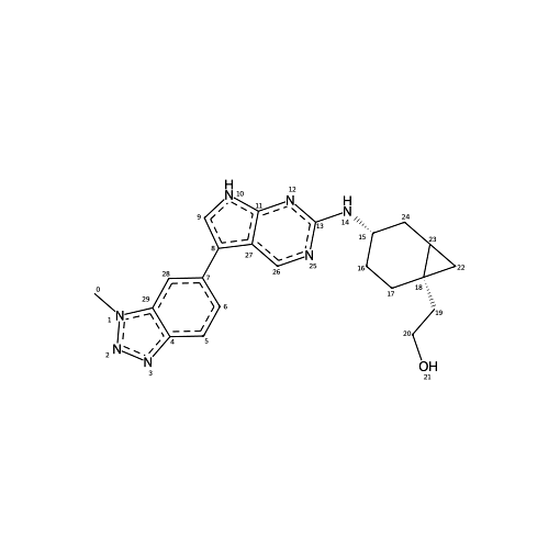 Cn1nnc2ccc(-c3c[nH]c4nc(N[C@H]5CC[C@]6(CCO)CC6C5)ncc34)cc21